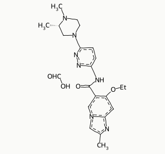 CCOc1cc2nc(C)cn2cc1C(=O)Nc1ccc(N2CCN(C)[C@@H](C)C2)nn1.O=CO